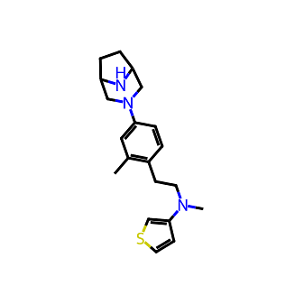 Cc1cc(N2CC3CCC(C2)N3)ccc1CCN(C)c1ccsc1